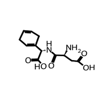 N[C@@H](CC(=O)O)C(=O)N[C@H](C(=O)O)C1=CCC=CC1